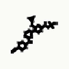 CC(C)(O)CNc1ncc(-c2ccnc(Nc3ccc(C#N)cc3)n2)c(CC2CC2)n1